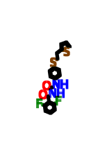 O=C(NC(=O)c1c(F)cccc1F)Nc1ccc(SCCc2cccs2)cc1